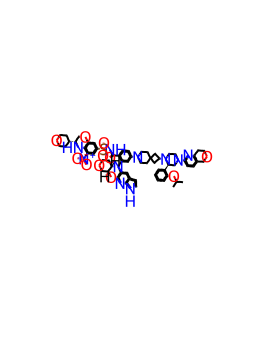 CC(C)Oc1ccccc1[C@@H]1CN(c2ccc3c(n2)CCOC3)CCN1C1CC2(CCN(c3ccc(C(=O)NS(=O)(=O)c4cc5c(c([N+](=O)[O-])c4)N[C@H](C4CCOCC4)CO5)c(N4c5cc6cc[nH]c6nc5O[C@H]5COCC[C@@H]54)c3)CC2)C1